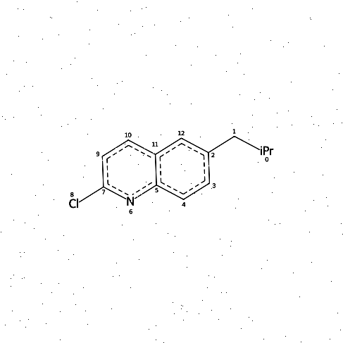 CC(C)Cc1ccc2nc(Cl)ccc2c1